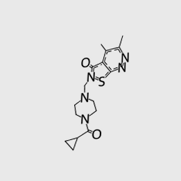 Cc1nnc2sn(CN3CCN(C(=O)C4CC4)CC3)c(=O)c2c1C